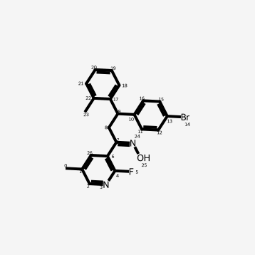 Cc1cnc(F)c(/C(CC(c2ccc(Br)cc2)c2ccccc2C)=N\O)c1